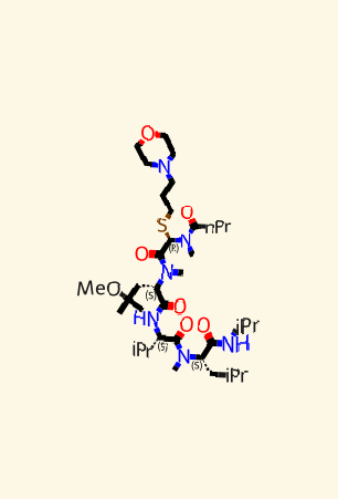 CCCC(=O)N(C)[C@H](SCCCN1CCOCC1)C(=O)N(C)[C@@H](CC(C)(C)OC)C(=O)N[C@H](C(=O)N(C)[C@@H](CC(C)C)C(=O)NC(C)C)C(C)C